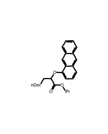 CCCCCCCCCCCC(Oc1cccc2cc3ccccc3cc12)C(=O)OC(C)C